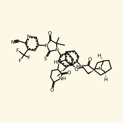 CCc1cc(N2C(=S)N(c3cnc(C#N)c(C(F)(F)F)c3)C(=O)C2(C)C)ccc1OCC[C@H]1C[C@H]2CC[C@@H](C1)N2CC(=O)Nc1cccc(NC2CCC(=O)NC2=O)c1